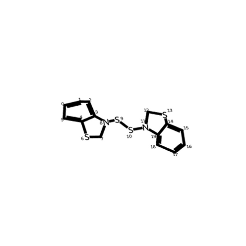 c1ccc2c(c1)SCN2SSN1CSc2ccccc21